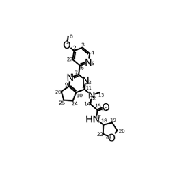 COc1ccnc(-c2nc3c(c(N(C)CC(=O)NC4CCOC4)n2)CCC3)c1